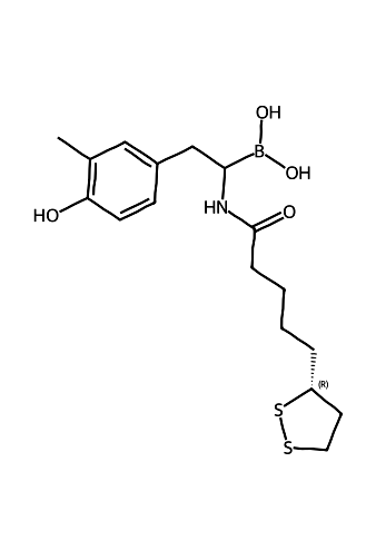 Cc1cc(CC(NC(=O)CCCC[C@@H]2CCSS2)B(O)O)ccc1O